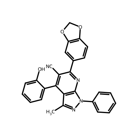 Cc1nn(-c2ccccc2)c2nc(-c3ccc4c(c3)OCO4)c(C#N)c(-c3ccccc3O)c12